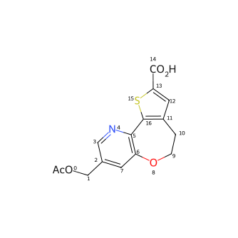 CC(=O)OCc1cnc2c(c1)OCCc1cc(C(=O)O)sc1-2